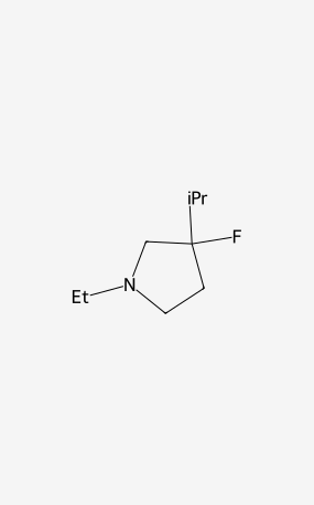 CCN1CCC(F)(C(C)C)C1